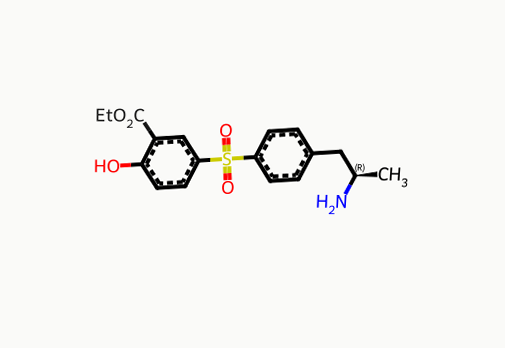 CCOC(=O)c1cc(S(=O)(=O)c2ccc(C[C@@H](C)N)cc2)ccc1O